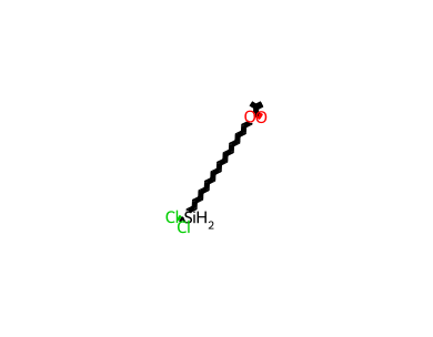 C=C(C)C(=O)OCCCCCCCCCCCCCCCCCCCC[SiH2]C(Cl)Cl